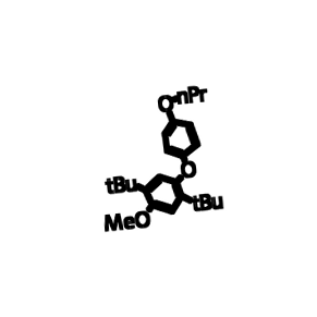 CCCOc1ccc(Oc2cc(C(C)(C)C)c(OC)cc2C(C)(C)C)cc1